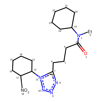 CCN(C(=O)CCCc1nnnn1C1CCCCC1[N+](=O)[O-])C1CCCCC1